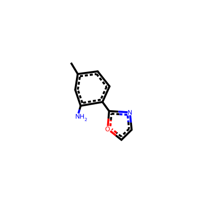 Cc1ccc(-c2ncco2)c(N)c1